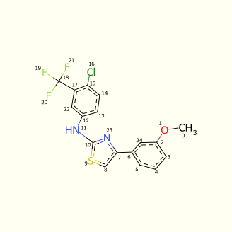 COc1cccc(-c2csc(Nc3ccc(Cl)c(C(F)(F)F)c3)n2)c1